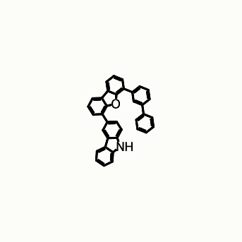 c1ccc(-c2cccc(-c3cccc4c3oc3c(-c5ccc6[nH]c7ccccc7c6c5)cccc34)c2)cc1